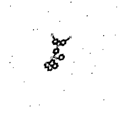 N#Cc1ccc2c(c1)c1cc(C#N)ccc1n2-c1ccc(-c2nc3c4cccc5ccc6cccc(c6c54)c3n2-c2ccccc2)cc1